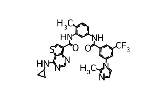 Cc1ccc(NC(=O)c2cc(-n3ccnc3C)cc(C(F)(F)F)c2)cc1NC(=O)c1csc2c(NC3CC3)ncnc12